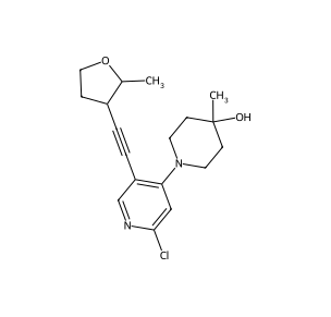 CC1OCCC1C#Cc1cnc(Cl)cc1N1CCC(C)(O)CC1